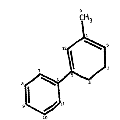 CC1=CC[CH]C(c2ccccc2)=C1